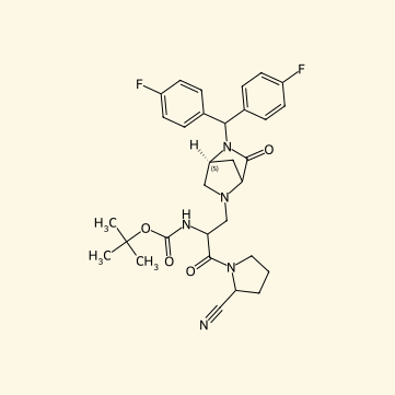 CC(C)(C)OC(=O)NC(CN1C[C@@H]2CC1C(=O)N2C(c1ccc(F)cc1)c1ccc(F)cc1)C(=O)N1CCCC1C#N